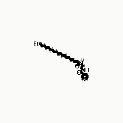 CCC=CCC=CCC=CCC=CCC=CCC=CCCC(=O)N(C)CCNC(=O)c1cccnc1